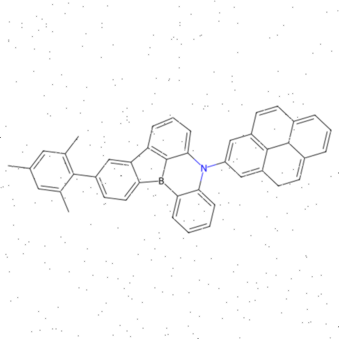 Cc1cc(C)c(-c2ccc3c(c2)-c2cccc4c2B3c2ccccc2N4c2cc3c4c(c2)CC=C2C=CC=C(C=C3)C24)c(C)c1